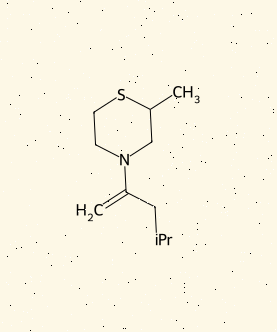 C=C(CC(C)C)N1CCSC(C)C1